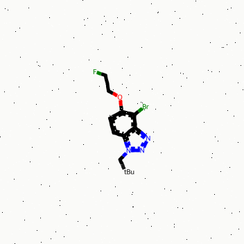 CC(C)(C)Cn1nnc2c(Br)c(OCCF)ccc21